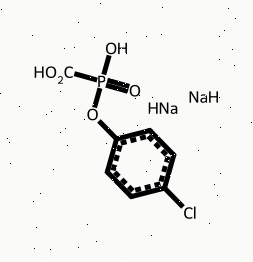 O=C(O)P(=O)(O)Oc1ccc(Cl)cc1.[NaH].[NaH]